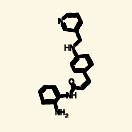 Nc1ccccc1NC(=O)/C=C\c1ccc(NCc2cccnc2)cc1